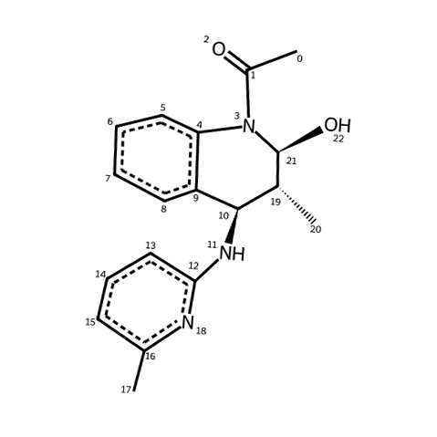 CC(=O)N1c2ccccc2[C@H](Nc2cccc(C)n2)[C@@H](C)[C@@H]1O